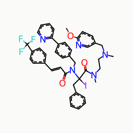 COc1ccc(CN(C)CCN(C)C(=O)C(I)(Cc2ccccc2)N(Cc2ccc(-c3ccccn3)cc2)C(=O)C=Cc2ccc(C(F)(F)F)cc2)cn1